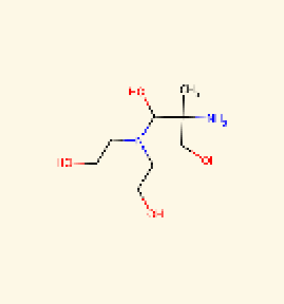 CC(N)(CO)C(O)N(CCO)CCO